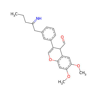 CCCC(=N)Cc1cccc(C2=COc3cc(OC)c(OC)cc3C2C=O)c1